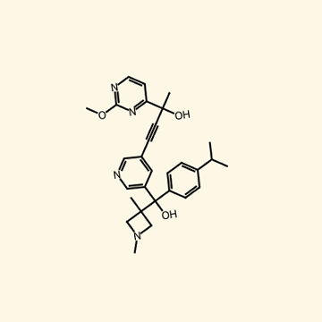 COc1nccc(C(C)(O)C#Cc2cncc(C(O)(c3ccc(C(C)C)cc3)C3(C)CN(C)C3)c2)n1